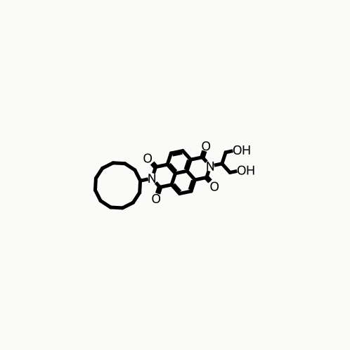 O=C1c2ccc3c4c(ccc(c24)C(=O)N1C(CO)CO)C(=O)N(C1CCCCCCCCCCC1)C3=O